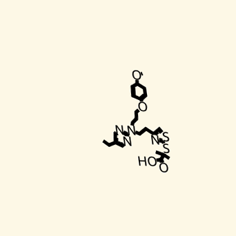 CCc1cnc(N(CCCOC2=CCC(OC)C=C2)CCc2csc(SC(C)(C)C(=O)O)n2)nc1